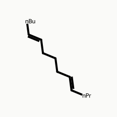 [CH2]CCC=CCCCC=CCCCC